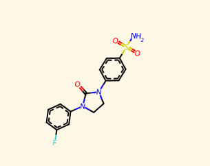 NS(=O)(=O)c1ccc(N2CCN(c3cccc(F)c3)C2=O)cc1